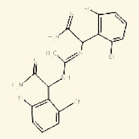 CCc1cccc(CC)c1C(/N=C(\C)NC(C(N)=O)c1c(CC)cccc1CC)C(N)=O